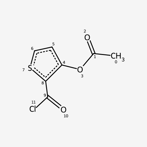 CC(=O)Oc1ccsc1C(=O)Cl